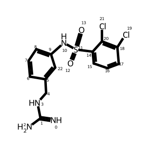 N=C(N)NCc1cccc(NS(=O)(=O)c2cccc(Cl)c2Cl)c1